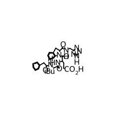 CC[C@H](C)[C@H](NC(=O)Cc1ccccc1)C(=O)NC(CCC(=O)O)C(=O)N1c2ccccc2CC1C(=O)NCc1nn[nH]n1